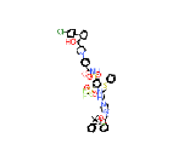 CC(C)(C)[Si](OC(CF)CN1CCN(CC[C@H](CSc2ccccc2)Nc2ccc(S(=O)(=O)NC(=O)c3ccc(N4CCC(C(O)c5ccccc5-c5ccc(Cl)cc5)CC4)cc3)cc2S(=O)(=O)C(F)(F)F)CC1)(c1ccccc1)c1ccccc1